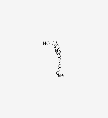 CCCOCCOCCOCc1cn(CC2OCCC(CO)S2)nn1